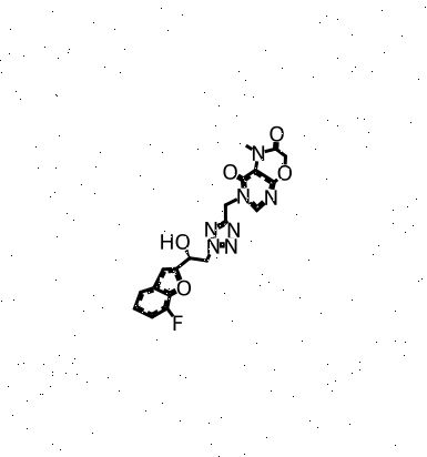 CN1C(=O)COc2ncn(Cc3nnn(C[C@H](O)c4cc5cccc(F)c5o4)n3)c(=O)c21